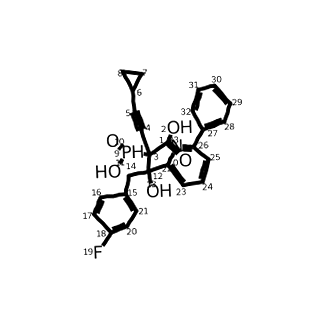 O=C(O)C(C#CC1CC1)([PH](=O)O)C(O)(Cc1ccc(F)cc1)c1cccc(-c2ccccc2)n1